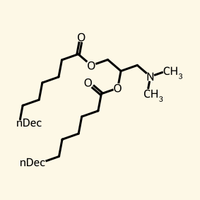 CCCCCCCCCCCCCCCC(=O)OCC(CN(C)C)OC(=O)CCCCCCCCCCCCCCC